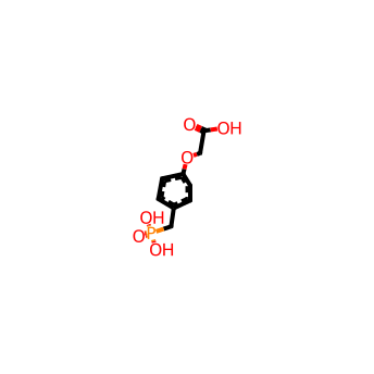 O=C(O)COc1ccc(CP(=O)(O)O)cc1